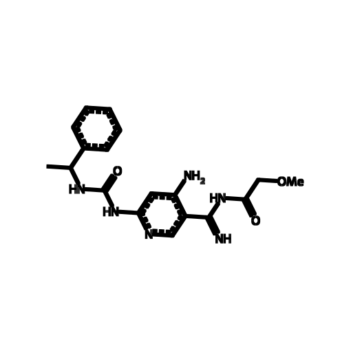 COCC(=O)NC(=N)c1cnc(NC(=O)NC(C)c2ccccc2)cc1N